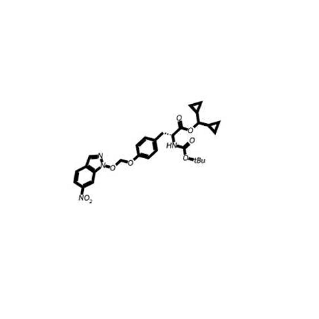 CC(C)(C)OC(=O)N[C@H](Cc1ccc(OCOn2ncc3ccc([N+](=O)[O-])cc32)cc1)C(=O)OC(C1CC1)C1CC1